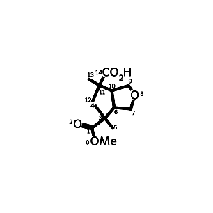 COC(=O)C(C)(C)C1COCC1C(C)(C)C(=O)O